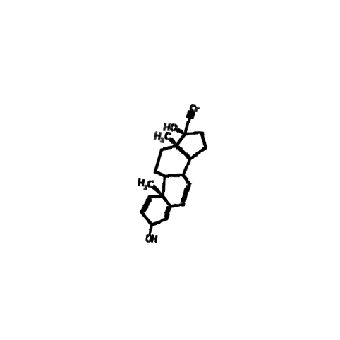 C[C@]12C=CC(O)C=C1C=CC1C2CC[C@@]2(C)C1CC[C@@]2(O)[C]#[Cr]